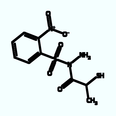 CC(S)C(=O)N(N)S(=O)(=O)c1ccccc1[N+](=O)[O-]